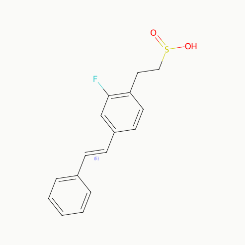 O=S(O)CCc1ccc(/C=C/c2ccccc2)cc1F